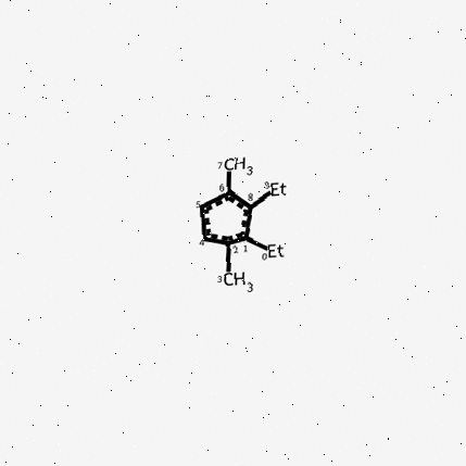 CCc1c(C)ccc(C)c1CC